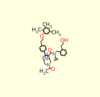 CC(=O)N1CC2CC(c3ccc(CCOc4cc(C)cc(C)c4C)cc3)=C(C(=O)N(Cc3ccccc3CCO)C3CC3)C(C1)N2